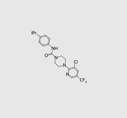 CC(C)c1ccc(NC(=O)N2CCN(c3ncc(C(F)(F)F)cc3Cl)CC2)cc1